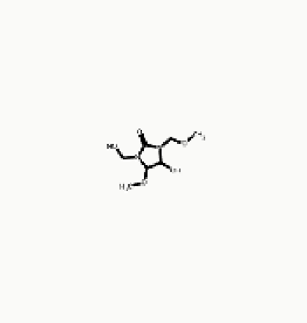 COCN1C(=O)N(CO)C(OC)C1O